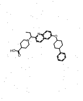 CCC(c1ccc2cc(OC3CCC(c4ccccc4)CC3)ccc2n1)N1CCC(C(=O)O)CC1